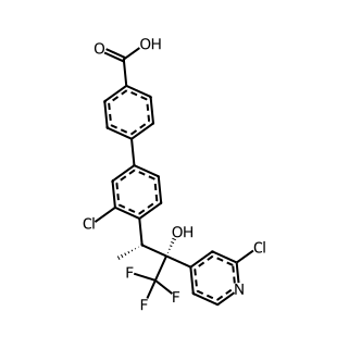 C[C@H](c1ccc(-c2ccc(C(=O)O)cc2)cc1Cl)[C@@](O)(c1ccnc(Cl)c1)C(F)(F)F